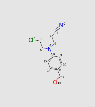 N#CCCN(CCCl)c1ccc(C=O)cc1